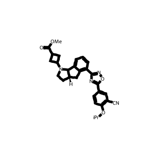 COC(=O)C1CC(N2CC[C@H]3Cc4c(-c5noc(-c6ccc(OC(C)C)c(C#N)c6)n5)cccc4C32)C1